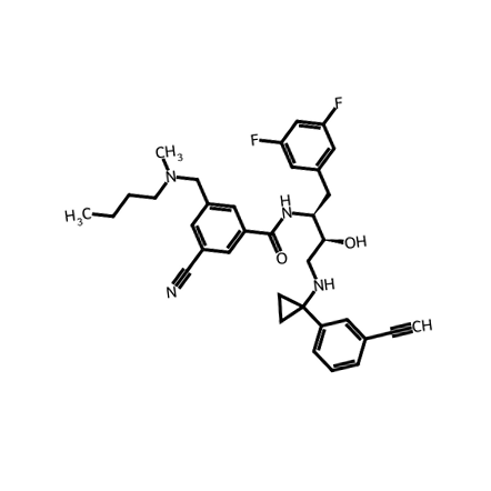 C#Cc1cccc(C2(NC[C@H](O)[C@H](Cc3cc(F)cc(F)c3)NC(=O)c3cc(C#N)cc(CN(C)CCCC)c3)CC2)c1